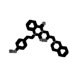 COc1ccc(CCn2c(=O)n(CC(O)CN3CCc4ccccc4C3)c(=O)c3ccccc32)cc1